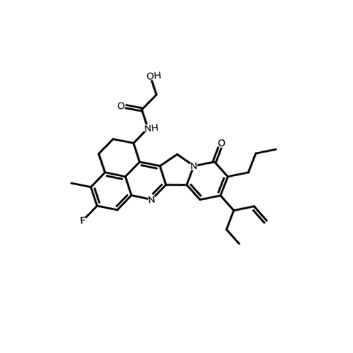 C=CC(CC)c1cc2n(c(=O)c1CCC)Cc1c-2nc2cc(F)c(C)c3c2c1C(NC(=O)CO)CC3